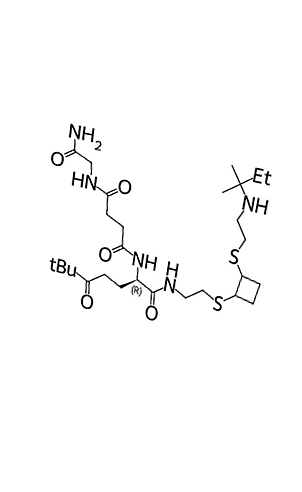 CCC(C)(C)NCCSC1CCC1SCCNC(=O)[C@@H](CCC(=O)C(C)(C)C)NC(=O)CCC(=O)NCC(N)=O